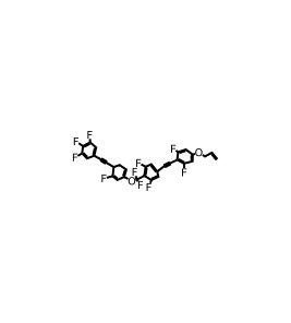 C=CCOc1cc(F)c(C#Cc2cc(F)c(C(F)(F)OC3=CCC(C#Cc4cc(F)c(F)c(F)c4)C(F)=C3)c(F)c2)c(F)c1